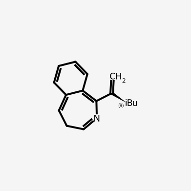 C=C(C1=c2ccccc2=CCC=N1)[C@H](C)CC